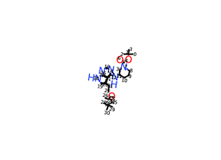 CC(C)(C)OC(=O)N1CCC[C@@H](Nc2ncnc3[nH]cc(CCO[Si](C)(C)C(C)(C)C)c23)C1